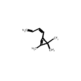 C=C/C=C\C1=C(C)C1(C)C(F)(F)F